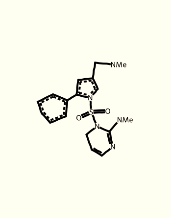 CNCc1cc(-c2ccccc2)n(S(=O)(=O)N2CC=CN=C2NC)c1